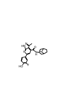 Cc1n[nH]c2nc(-c3ccc(O)c(F)c3)cc(C(=O)NC3CC4CCC(C3)N4C)c12